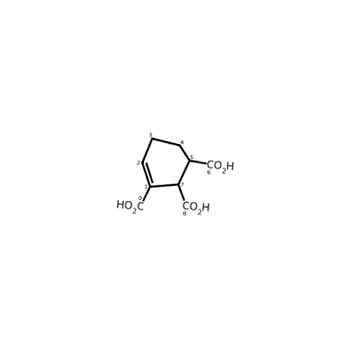 O=C(O)C1=CCCC(C(=O)O)C1C(=O)O